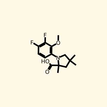 COc1c(N2CC(C)(C)CC2(C)C(=O)O)ccc(F)c1F